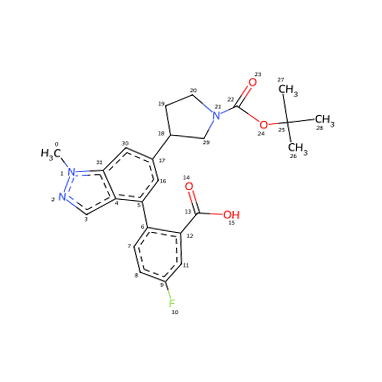 Cn1ncc2c(-c3ccc(F)cc3C(=O)O)cc(C3CCN(C(=O)OC(C)(C)C)C3)cc21